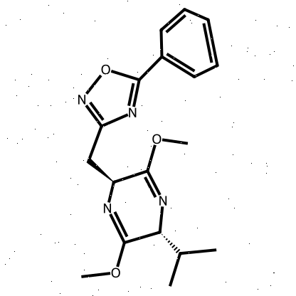 COC1=N[C@H](C(C)C)C(OC)=N[C@H]1Cc1noc(-c2ccccc2)n1